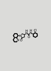 O=C(Nc1ccccc1Cl)NC1CC(=O)N(c2cccc3cccnc23)C1